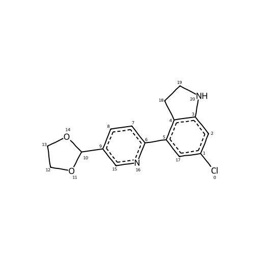 Clc1cc2c(c(-c3ccc(C4OCCO4)cn3)c1)CCN2